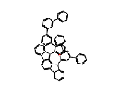 c1ccc(-c2cccc(-c3cccc(-c4ccccc4-n4c5ccccc5c5ccc6c7ccccc7n(-c7nc(-c8ccccc8)nc(-c8ccccc8)n7)c6c54)c3)c2)cc1